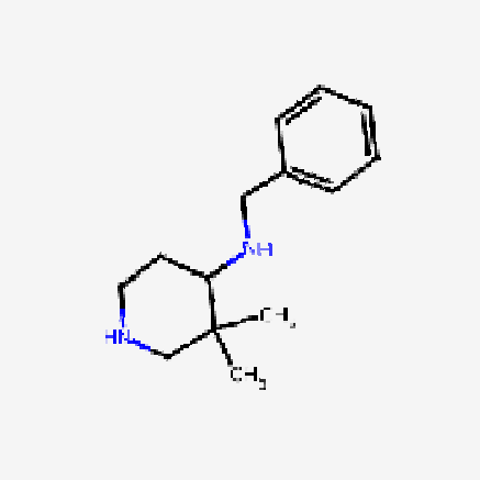 CC1(C)CNCCC1NCc1ccccc1